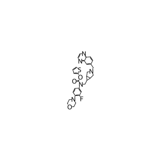 O=C(Oc1cccs1)N(CC1C2CN(Cc3ccc4nccnc4c3)CC21)c1ccc(N2CCOCC2)c(F)c1